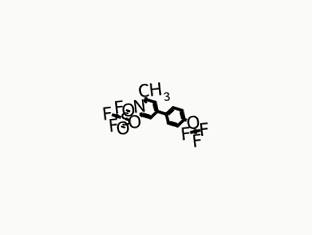 Cc1cc(-c2ccc(OC(F)(F)F)cc2)cc(OS(=O)(=O)C(F)(F)F)n1